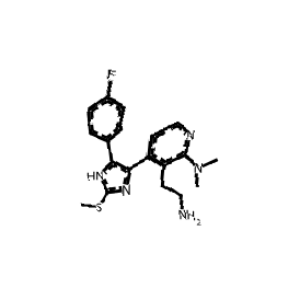 CSc1nc(-c2ccnc(N(C)C)c2CCN)c(-c2ccc(F)cc2)[nH]1